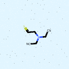 N#CCN(CC#N)CC=S